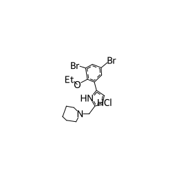 CCOc1c(Br)cc(Br)cc1-c1ccc(CN2CCCCC2)[nH]1.Cl